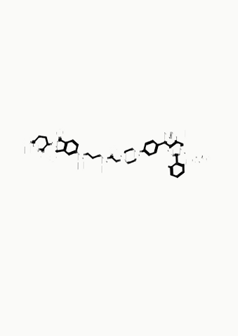 COc1cccc(F)c1-c1ncc2[nH]nc(-c3ccc(N4CCN(CC(=O)NCCCNc5ccc6c(c5)C(=O)N(C5CCC(=O)NC5=O)C6=O)CC4)cc3)c2n1